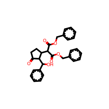 O=C(OCc1ccccc1)C(C(=O)OCc1ccccc1)C1CCC(=O)C1C(O)c1ccccc1